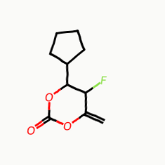 C=C1OC(=O)OC(C2CCCC2)C1F